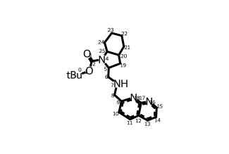 CC(C)(C)OC(=O)N1C(CNCc2ccc3cccnc3n2)CC2CCCCC21